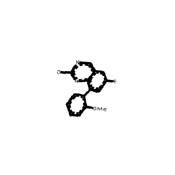 COc1ccccc1-c1cc(F)cc2cnc(Cl)nc12